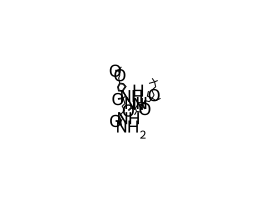 CCC(CC)(CCC(=O)NC(C(=O)NC(CCCNC(N)=O)C(=O)Nc1ccc(COC(C)=O)cc1)C(C)C)OCCC(C)(C)C